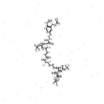 CC(=O)SCc1cc(OCCNC(=O)[C@H](CCCCNC(=O)[C@@H](C)CCCCN/C(=N\C(=O)OC(C)(C)C)NC(=O)OC(C)(C)C)NC(=O)OC(C)(C)C)ccc1CS